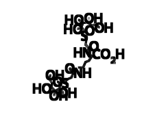 O=C(CCS[C@H]1O[C@H](CO)[C@@H](O)[C@H](O)[C@@H]1O)NCCCC[C@@H](NC(=O)CCS[C@H]1O[C@H](CO)[C@@H](O)[C@H](O)[C@@H]1O)C(=O)O